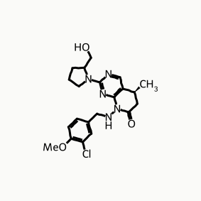 COc1ccc(CNN2C(=O)C[C@H](C)c3cnc(N4CCCC4CO)nc32)cc1Cl